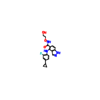 O=C(NOCCO)c1ccc2[nH]ncc2c1Nc1ccc(C2CC2)cc1F